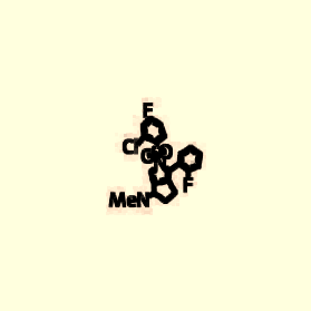 CNC1CCc2c1cn(S(=O)(=O)c1ccc(F)cc1Cl)c2-c1ccccc1F